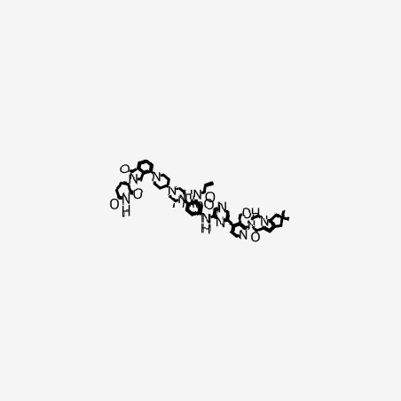 C=CC(=O)Nc1cc(Nc2nc(-c3ccnc(N4CCn5c(cc6c5CC(C)(C)C6)C4=O)c3CO)cnc2OC)ccc1N1CCN(C2CCN(c3cccc4c3CN(C3CCC(=O)NC3=O)C4=O)CC2)C[C@@H]1C